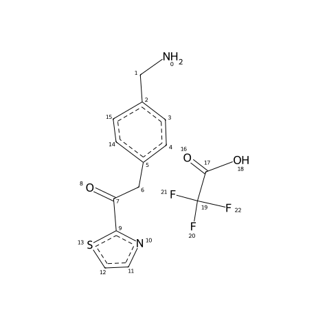 NCc1ccc(CC(=O)c2nccs2)cc1.O=C(O)C(F)(F)F